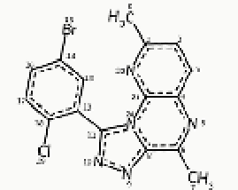 Cc1ccc2nc(C)c3nnc(-c4cc(Br)ccc4Cl)n3c2n1